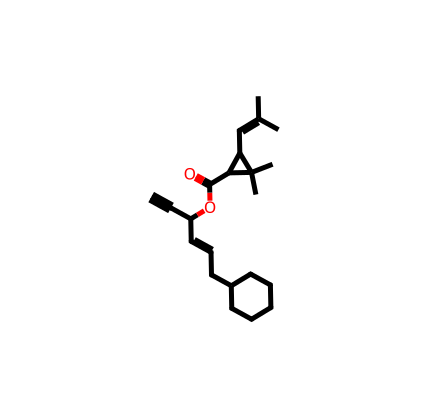 C#CC(/C=C/CC1CCCCC1)OC(=O)C1C(C=C(C)C)C1(C)C